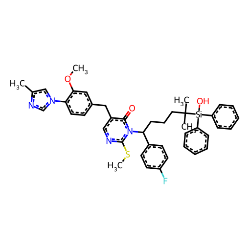 COc1cc(Cc2cnc(SC)n(C(CCCC(C)(C)[Si](O)(c3ccccc3)c3ccccc3)c3ccc(F)cc3)c2=O)ccc1-n1cnc(C)c1